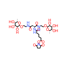 C[C@@H]1O[C@@H](OCCNC(=O)C[C@H](NC(=O)CCCCC(=O)ON2C(=O)CCC2=O)C(=O)NCCO[C@@H]2O[C@@H](C)[C@@H](O)[C@@H](O)[C@@H]2O)[C@@H](O)[C@H](O)[C@@H]1O